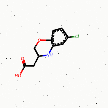 O=C(O)CC1COc2ccc(Cl)cc2N1